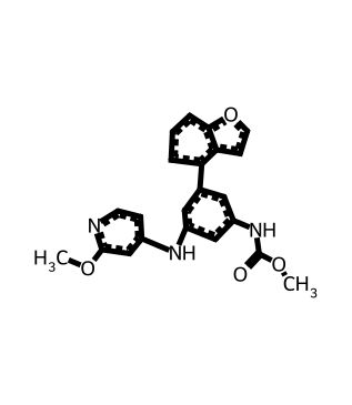 COC(=O)Nc1cc(Nc2ccnc(OC)c2)cc(-c2cccc3occc23)c1